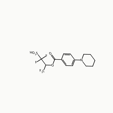 O=C(OC(C(F)(F)F)C(F)(F)S(=O)(=O)O)c1ccc(N2CCCCC2)cc1